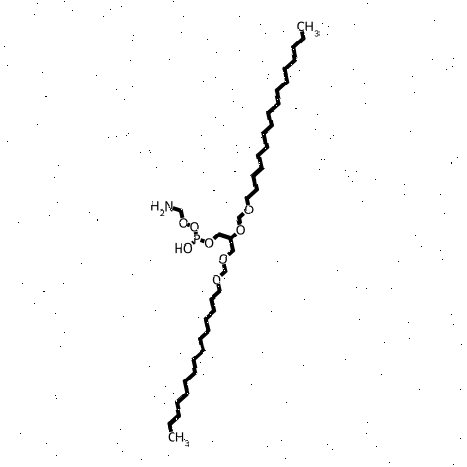 CCCCCCCCCCCCCCCCCOCOC(COCOCCCCCCCCCCCCCCC)COP(O)OOCN